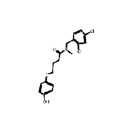 CN(Cc1ccc(Cl)cc1Cl)C(=O)CCCSc1ccc(O)cc1